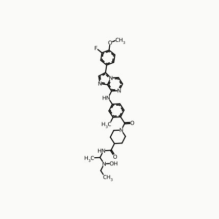 CCN(O)C(C)NC(=O)C1CCN(C(=O)c2ccc(Nc3nccn4c(-c5ccc(OC)c(F)c5)cnc34)cc2C)CC1